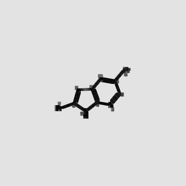 CC(C)c1cnc2[nH]c(C(C)C)cc2c1